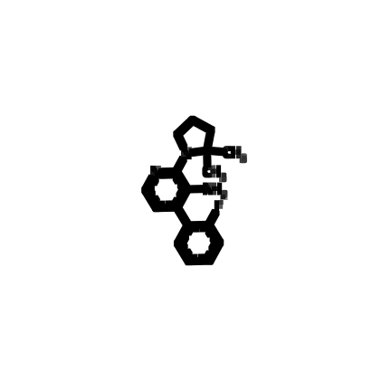 CC1(C)CCCN1c1nccc(-c2ccccc2F)c1N